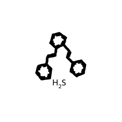 C(=Cc1ccccc1C=Cc1ccccc1)c1ccccc1.S